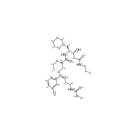 CCCNC(=O)C[C@H](O)[C@H](CC1CCCCC1)NC(=O)N1CCC[C@@H]([C@@H](OCCNC(=O)OC)c2cccc(Cl)c2)C1